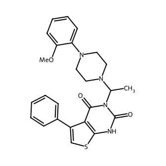 COc1ccccc1N1CCN(C(C)n2c(=O)[nH]c3scc(-c4ccccc4)c3c2=O)CC1